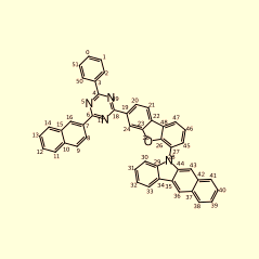 c1ccc(-c2nc(-c3ccc4ccccc4c3)nc(-c3ccc4c(c3)oc3c(-n5c6ccccc6c6cc7ccccc7cc65)cccc34)n2)cc1